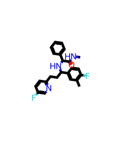 CNC(=O)C(NC(CCc1ccc(F)cn1)c1ccc(F)c(C)c1)c1ccccc1